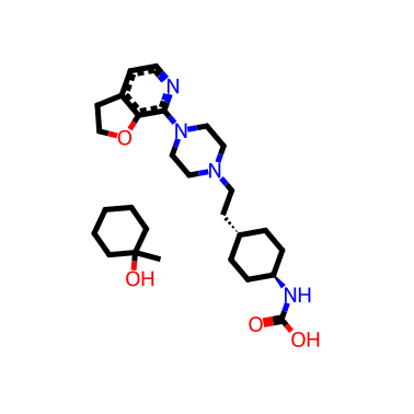 CC1(O)CCCCC1.O=C(O)N[C@H]1CC[C@H](CCN2CCN(c3nccc4c3OCC4)CC2)CC1